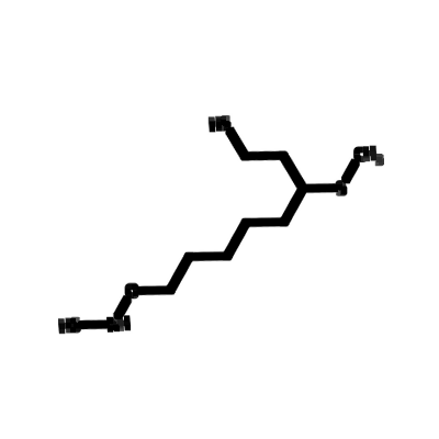 CSC(CCS)CCCCCONS